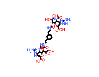 CC(=O)N[C@H]1[C@H]([C@H](OC(=O)NCCc2cccc(CCNC(=O)O[C@@H]([C@@H]3OC(C(=O)O)=C[C@H](NC(=N)N)[C@H]3NC(C)=O)[C@@H](O)CO)c2)[C@H](O)CO)OC(C(=O)O)=C[C@@H]1NC(=N)N